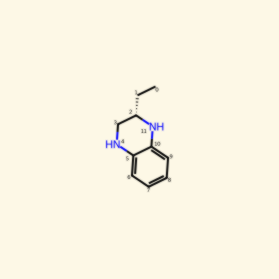 CC[C@H]1CNc2ccccc2N1